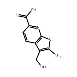 Cc1sc2nc(C(=O)O)ccc2c1CO